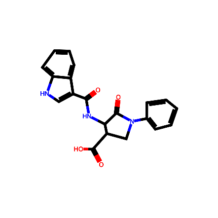 O=C(NC1C(=O)N(c2ccccc2)CC1C(=O)O)c1c[nH]c2ccccc12